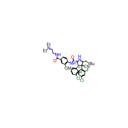 CCN(CC)CCNC(=O)c1ccc(NC(=O)[C@@H]2N[C@@H](CC(C)(C)C)[C@](C#N)(c3ccc(Cl)cc3F)[C@H]2c2cccc(Cl)c2F)c(OC)c1